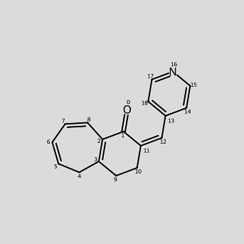 O=C1C2=C(CC=CC=C2)CC/C1=C/c1ccncc1